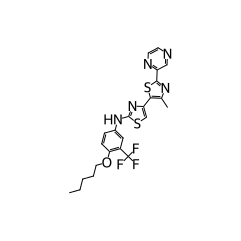 CCCCCOc1ccc(Nc2nc(-c3sc(-c4cnccn4)nc3C)cs2)cc1C(F)(F)F